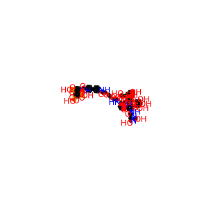 O=C(COCCOCC(=O)Nc1ccc(-c2ccc(C(=O)Nc3ccc(S(=O)(=O)O)c4cc(S(=O)(=O)O)cc(S(=O)(=O)O)c34)cc2)cc1)NCCNC(=O)C1CC(NC(=O)c2cc(O)nc(O)n2)C(OC2OC=C(O)C(O)C2O)C(OC2OC(CO)C(O)C(O[C@@H](CC3CCCCC3)C(=O)O)C2OC(=O)c2ccccc2)C1